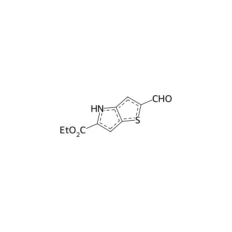 CCOC(=O)c1cc2sc(C=O)cc2[nH]1